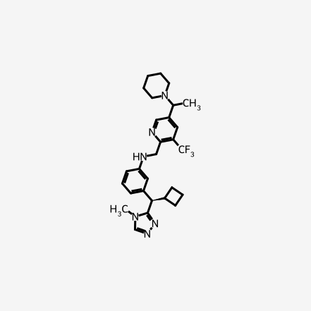 CC(c1cnc(CNc2cccc([C@H](c3nncn3C)C3CCC3)c2)c(C(F)(F)F)c1)N1CCCCC1